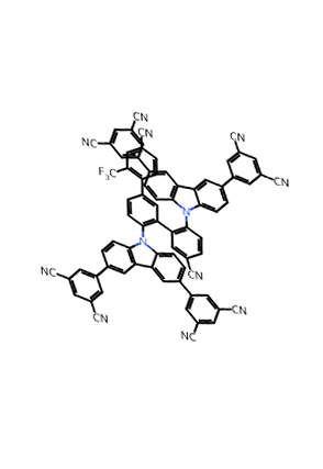 N#Cc1cc(C#N)cc(-c2ccc3c(c2)c2cc(-c4cc(C#N)cc(C#N)c4)ccc2n3-c2ccc(C#N)cc2-c2cc(-c3ccc(C#N)cc3C(F)(F)F)ccc2-n2c3ccc(-c4cc(C#N)cc(C#N)c4)cc3c3cc(-c4cc(C#N)cc(C#N)c4)ccc32)c1